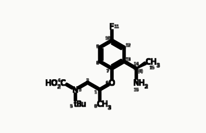 CC(CN(C(=O)O)C(C)(C)C)Oc1ccc(F)cc1[C@@H](C)N